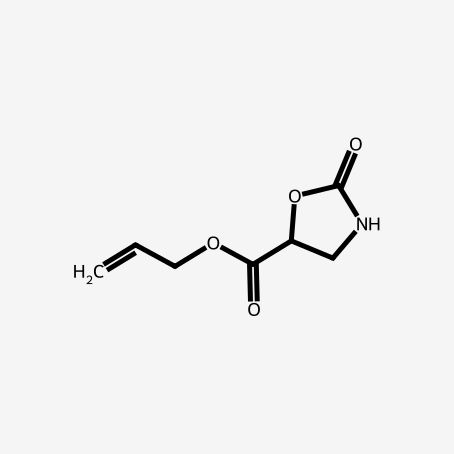 C=CCOC(=O)C1CNC(=O)O1